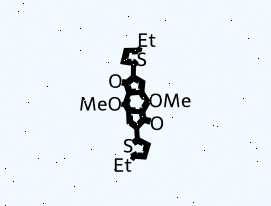 CCc1ccc(-c2cc3c(OC)c4c(=O)c(-c5ccc(CC)s5)cc4c(OC)c3c2=O)s1